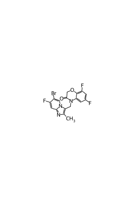 Cc1nc2cc(F)c(Br)cn2c1CN1C(=O)COc2c(F)cc(F)cc21